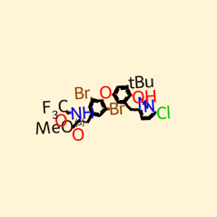 COC(=O)[C@H](Cc1cc(Br)c(Oc2cc(Cc3ccc(Cl)nn3)c(O)c(C(C)(C)C)c2)c(Br)c1)NC(=O)C(F)(F)F